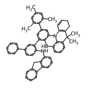 Cc1cc(C)c(-c2cc(-c3cc(-c4ccccc4)ccc3Nc3cccc4c3Cc3ccccc3-4)c3c(c2)N2C4=C(CCC=C4)C(C)(C)c4cccc(c42)B3)c(C)c1